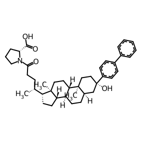 C[C@H](CCC(=O)N1CCC[C@@H]1C(=O)O)[C@H]1CC[C@H]2[C@@H]3CC[C@@H]4C[C@](O)(c5ccc(-c6ccccc6)cc5)CC[C@]4(C)[C@H]3CC[C@]12C